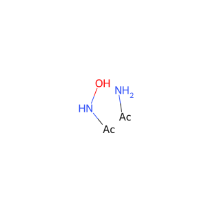 CC(=O)NO.CC(N)=O